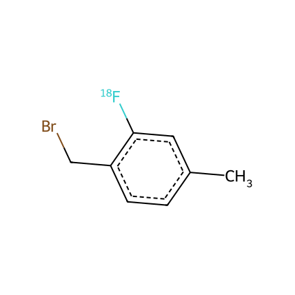 Cc1ccc(CBr)c([18F])c1